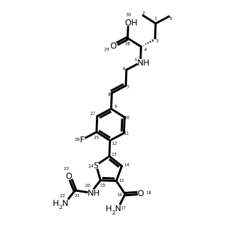 CC(C)C[C@H](NCC=Cc1ccc(-c2cc(C(N)=O)c(NC(N)=O)s2)c(F)c1)C(=O)O